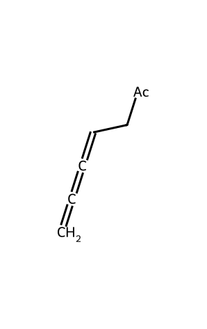 C=C=C=CCC(C)=O